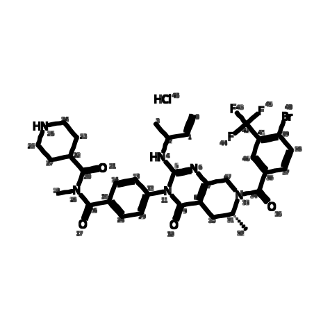 C=CC(C)Nc1nc2c(c(=O)n1-c1ccc(C(=O)N(C)C(=O)C3CCNCC3)cc1)C[C@@H](C)N(C(=O)c1ccc(Br)c(C(F)(F)F)c1)C2.Cl